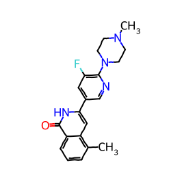 Cc1cccc2c(=O)[nH]c(-c3cnc(N4CCN(C)CC4)c(F)c3)cc12